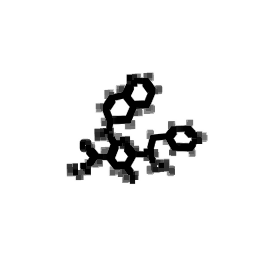 CN(Cc1ccncc1)c1nc(Nc2ccc3ncccc3c2)c(C(N)=O)cc1F